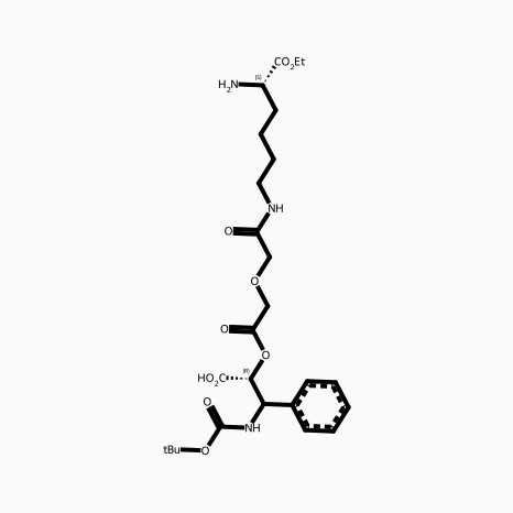 CCOC(=O)[C@@H](N)CCCCNC(=O)COCC(=O)O[C@@H](C(=O)O)C(NC(=O)OC(C)(C)C)c1ccccc1